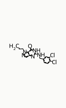 C=CCn1ncc2nc(NCc3ccc(Cl)c(Cl)c3)[nH]c(=O)c21